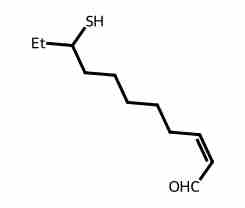 CCC(S)CCCCC/C=C\C=O